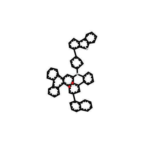 c1cc(-c2ccccc2N(c2ccc(-c3cccc4c3sc3ccccc34)cc2)c2ccc3c4ccccc4c4ccccc4c3c2)cc(-c2cccc3ccccc23)c1